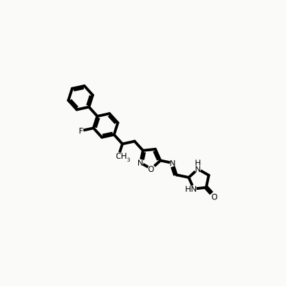 CC(Cc1cc(N=CC2NCC(=O)N2)on1)c1ccc(-c2ccccc2)c(F)c1